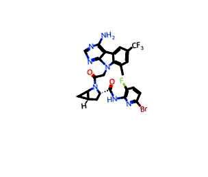 Cc1cc(C(F)(F)F)cc2c3c(N)ncnc3n(CC(=O)N3C4C[C@@H]4C[C@H]3C(=O)Nc3nc(Br)ccc3F)c12